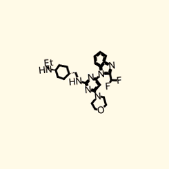 CCN[C@H]1CC[C@H](CNc2nc(N3CCOCC3)cc(-n3c(C(F)F)nc4ccccc43)n2)CC1